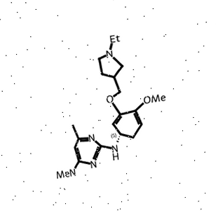 CCN1CCC(COC2=C[C@@H](Nc3nc(C)cc(NC)n3)CC=C2OC)C1